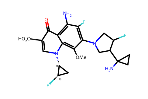 COc1c(N2CC(F)C(C3(N)CC3)C2)c(F)c(N)c2c(=O)c(C(=O)O)cn([C@@H]3C[C@H]3F)c12